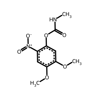 CNC(=O)Oc1cc(OC)c(OC)cc1[N+](=O)[O-]